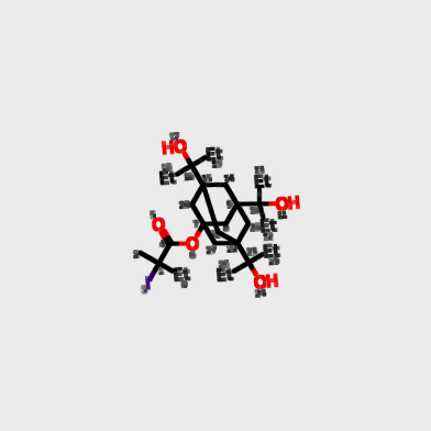 CCC(C)(I)C(=O)OC12CC3(C(O)(CC)CC)CC(C(O)(CC)CC)(C1)CC(C(O)(CC)CC)(C2)C3